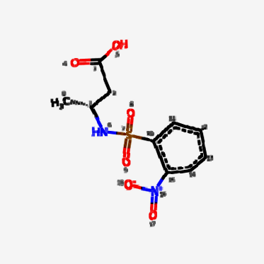 C[C@H](CC(=O)O)NS(=O)(=O)c1ccccc1[N+](=O)[O-]